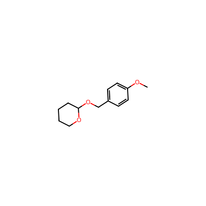 COc1ccc(COC2CCCCO2)cc1